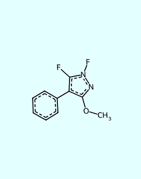 COc1nn(F)c(F)c1-c1ccccc1